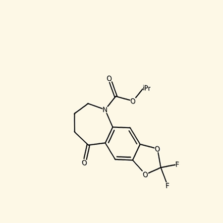 CC(C)OC(=O)N1CCCC(=O)c2cc3c(cc21)OC(F)(F)O3